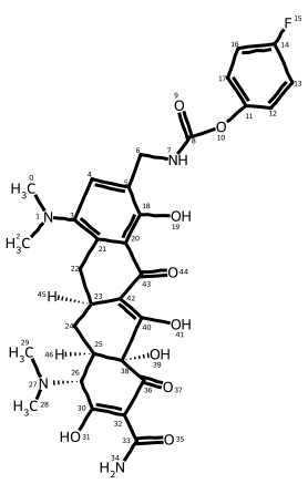 CN(C)c1cc(CNC(=O)Oc2ccc(F)cc2)c(O)c2c1C[C@@H]1C[C@@H]3[C@@H](N(C)C)C(O)=C(C(N)=O)C(=O)[C@]3(O)C(O)=C1C2=O